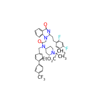 CCOC(=O)C(C)(C)N1CCC(N(Cc2ccc(-c3ccc(C(F)(F)F)cc3)cc2)C(=O)Cn2c(CCc3ccc(F)cc3F)nc(=O)c3ccccc32)CC1